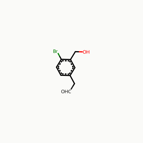 O=CCc1ccc(Br)c(CO)c1